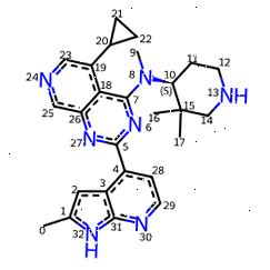 Cc1cc2c(-c3nc(N(C)[C@H]4CCNCC4(C)C)c4c(C5CC5)cncc4n3)ccnc2[nH]1